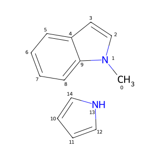 Cn1ccc2ccccc21.c1cc[nH]c1